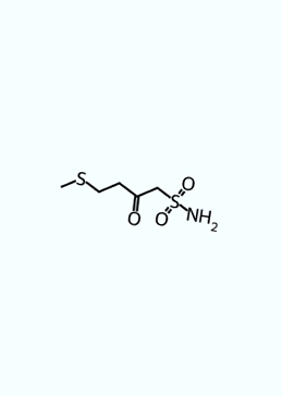 CSCCC(=O)CS(N)(=O)=O